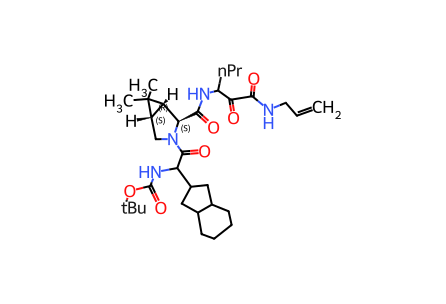 C=CCNC(=O)C(=O)C(CCC)NC(=O)[C@@H]1[C@@H]2[C@H](CN1C(=O)C(NC(=O)OC(C)(C)C)C1CC3CCCCC3C1)C2(C)C